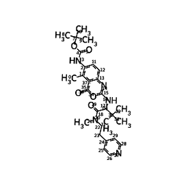 Cc1c(NC(=O)OC(C)(C)C)ccc2nc(N[C@H](C(=O)N(C)CCc3ccncc3)C(C)(C)C)oc(=O)c12